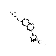 Cn1cc(-c2cnc3ccc(CCCO)cc3c2)cn1